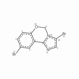 Brc1ccc2c(c1)-c1ncc(Br)n1CO2